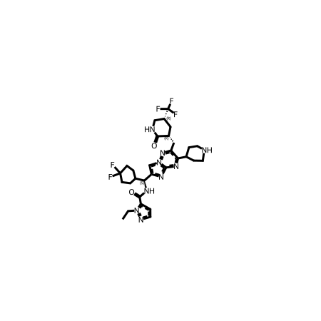 CCn1nccc1C(=O)N[C@H](c1cn2nc(C[C@H]3C[C@@H](C(F)(F)F)CNC3=O)c(C3CCNCC3)nc2n1)C1CCC(F)(F)CC1